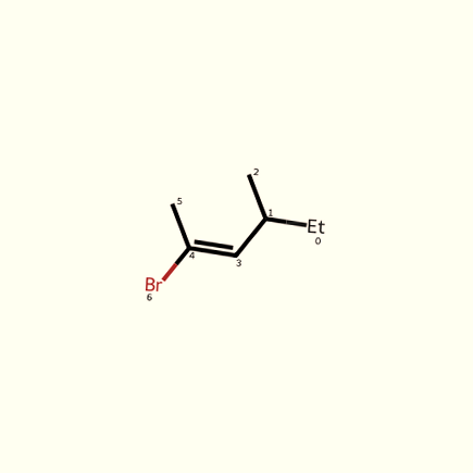 CCC(C)/C=C(\C)Br